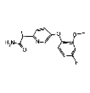 COc1cc(F)ccc1Oc1ccc(C(C)C(N)=O)nc1